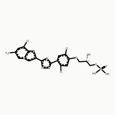 O=P(O)(O)OC[C@@H](O)COc1cc(Cl)c(-c2noc(-c3cn4cc(C(F)(F)F)cc(Cl)c4n3)n2)cc1Cl